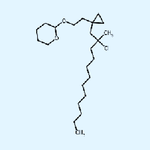 CCCCCCCCCCC(C)(Cl)CC1(CCOC2CCCCO2)CC1